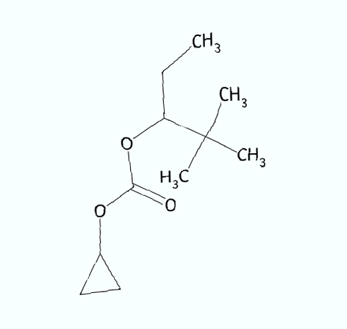 CCC(OC(=O)OC1CC1)C(C)(C)C